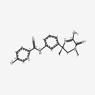 CN1C[C@](C)(c2cccc(NC(=O)c3ccc(Cl)cn3)c2)N=C(N)C1=O